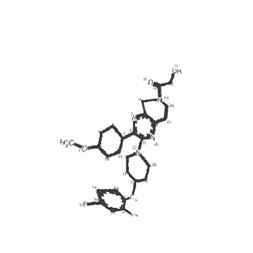 COC1CCC(c2nc3c(nc2N2CCC(Oc4ccc(F)cc4F)CC2)CCN(C(=O)CO)C3)CC1